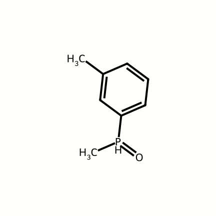 Cc1cccc([PH](C)=O)c1